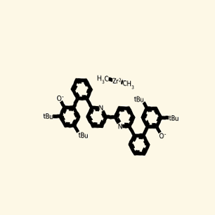 CC(C)(C)c1cc(-c2ccccc2-c2cccc(-c3cccc(-c4ccccc4-c4cc(C(C)(C)C)cc(C(C)(C)C)c4[O-])n3)n2)c([O-])c(C(C)(C)C)c1.[CH3][Zr+2][CH3]